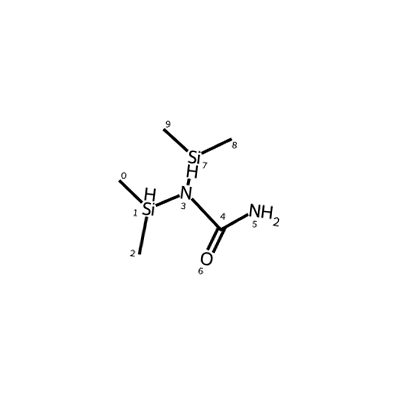 C[SiH](C)N(C(N)=O)[SiH](C)C